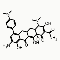 CN(C)c1ccc(-c2cc(N)c(O)c3c2CC2CC4C(N(C)C)C(O)=C(C(N)=O)C(=O)C4(O)C(O)=C2C3=O)cc1